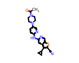 CC(=O)N1CCN(c2ccc(Nc3cc4c(C5CC5)c(C#N)sc4cn3)nc2)CC1